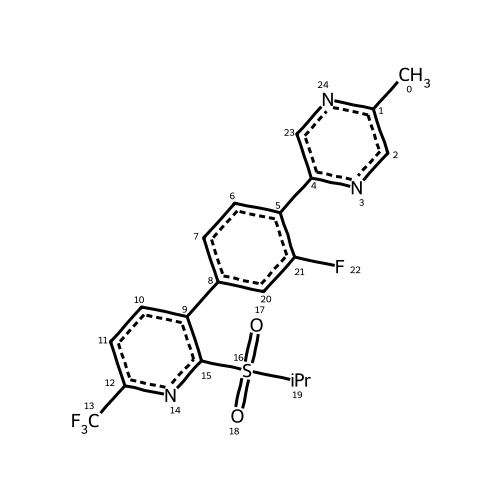 Cc1cnc(-c2ccc(-c3ccc(C(F)(F)F)nc3S(=O)(=O)C(C)C)cc2F)cn1